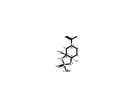 C=C(C)[C@H]1CC[C@@]2(C)SP(=S)(C(C)(C)C)O[C@@H]2C1